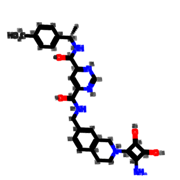 C[C@H](NC(=O)c1cc(C(=O)NCc2ccc3c(c2)CN(c2c(N)c(=O)c2=O)CC3)ncn1)c1ccc(C(=O)O)cc1